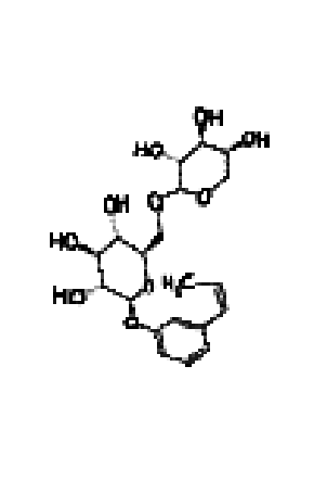 C/C=C\c1cccc(O[C@@H]2O[C@H](COC3OC[C@H](O)[C@H](O)[C@H]3O)[C@@H](O)[C@H](O)[C@H]2O)c1